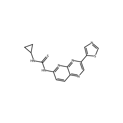 S=C(Nc1ccc2ncc(-c3cncs3)nc2n1)NC1CC1